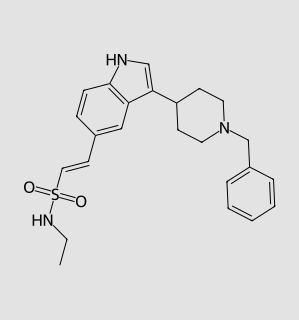 CCNS(=O)(=O)/C=C/c1ccc2[nH]cc(C3CCN(Cc4ccccc4)CC3)c2c1